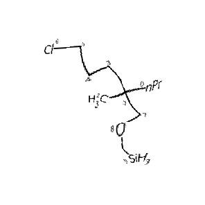 CCCC(C)(CCCCl)CO[SiH3]